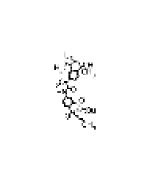 C=CCOC(=O)c1ccc(NC(=O)C(=C)c2ccc3c(c2)C(C)(C)CCC3(C)C)cc1C(=O)OC(C)(C)C